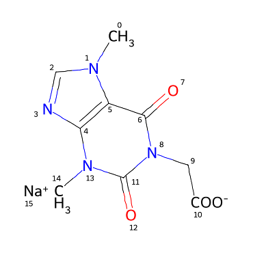 Cn1cnc2c1c(=O)n(CC(=O)[O-])c(=O)n2C.[Na+]